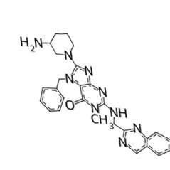 Cn1c(NCc2ncc3ccccc3n2)nc2nc(N3CCCC(N)C3)n(Cc3ccccc3)c2c1=O